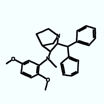 COc1ccc(OC)c(N(C)C2C3CCN(C3)C2C(c2ccccc2)c2ccccc2)c1